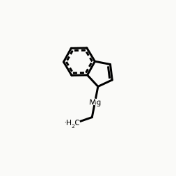 [CH2][CH2][Mg][CH]1C=Cc2ccccc21